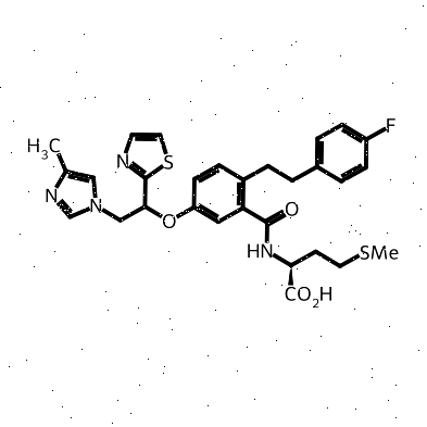 CSCC[C@H](NC(=O)c1cc(OC(Cn2cnc(C)c2)c2nccs2)ccc1CCc1ccc(F)cc1)C(=O)O